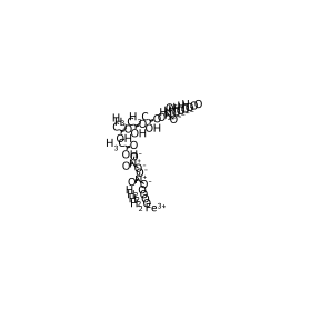 CC(=O)O.CC(=O)O.CC(=O)O.CC(=O)O.O.O.O.O.O.O.O.O.O.O.O=[N+]([O-])[O-].O=[N+]([O-])[O-].O=[N+]([O-])[O-].[Fe+3]